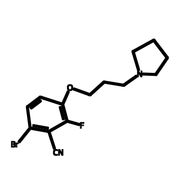 N#Cc1c(Br)ccc(OCCCN2CCCC2)c1F